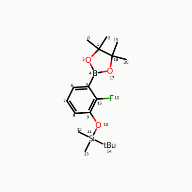 CC1(C)OB(c2cccc(O[Si](C)(C)C(C)(C)C)c2F)OC1(C)C